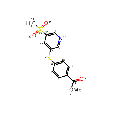 COC(=O)c1ccc(Sc2cncc(S(C)(=O)=O)c2)cc1